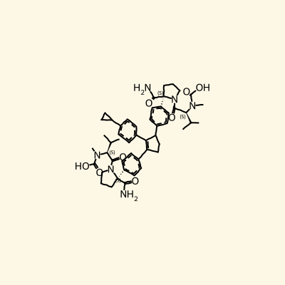 CC(C)[C@@H](C(=O)N1CCC[C@@]1(C(N)=O)c1ccc(C2=C(c3ccc(C4CC4)cc3)C(c3ccc([C@]4(C(N)=O)CCCN4C(=O)[C@H](C(C)C)N(C)C(=O)O)cc3)CC2)cc1)N(C)C(=O)O